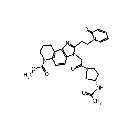 COC(=O)N1CCCc2c1ccc1c2nc(CCn2ccccc2=O)n1CC(=O)N1CC[C@H](NC(C)=O)C1